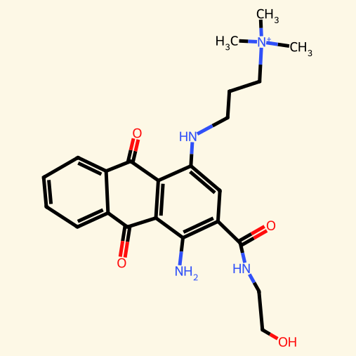 C[N+](C)(C)CCCNc1cc(C(=O)NCCO)c(N)c2c1C(=O)c1ccccc1C2=O